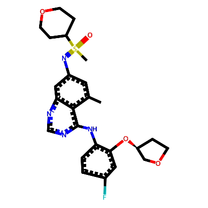 Cc1cc(N=S(C)(=O)C2CCOCC2)cc2ncnc(Nc3ccc(F)cc3O[C@H]3CCOC3)c12